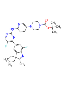 CCC1(CC)C(C)=Nc2c(F)cc(-c3nc(Nc4ccc(N5CCN(C(=O)OC(C)(C)C)CC5)cn4)ncc3F)cc21